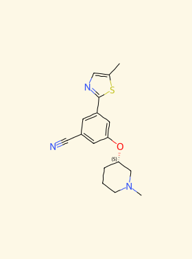 Cc1cnc(-c2cc(C#N)cc(O[C@H]3CCCN(C)C3)c2)s1